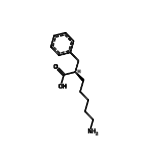 NCCCCC[C@H](Cc1ccccc1)C(=O)O